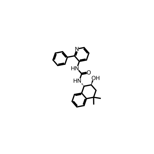 CC1(C)C[C@H](O)[C@@H](NC(=O)Nc2cccnc2-c2ccccc2)c2ccccc21